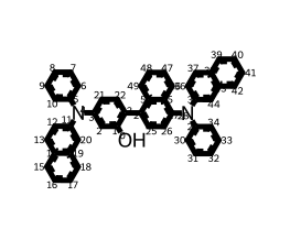 Oc1cc(N(c2ccccc2)c2ccc3ccccc3c2)ccc1-c1ccc(N(c2ccccc2)c2ccc3ccccc3c2)c2ccccc12